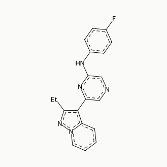 CCc1nn2ccccc2c1-c1cncc(Nc2ccc(F)cc2)n1